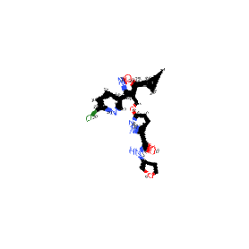 O=C(NC1CCOC1)c1ccc(OCc2c(-c3ccc(Cl)nc3)noc2C2CC2)nn1